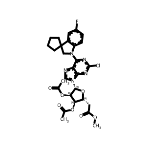 COC(=O)C[C@H]1O[C@@H](n2cnc3c(N4CC5(CCCC5)c5cc(F)ccc54)nc(Cl)nc32)[C@H](OC(C)=O)[C@@H]1OC(C)=O